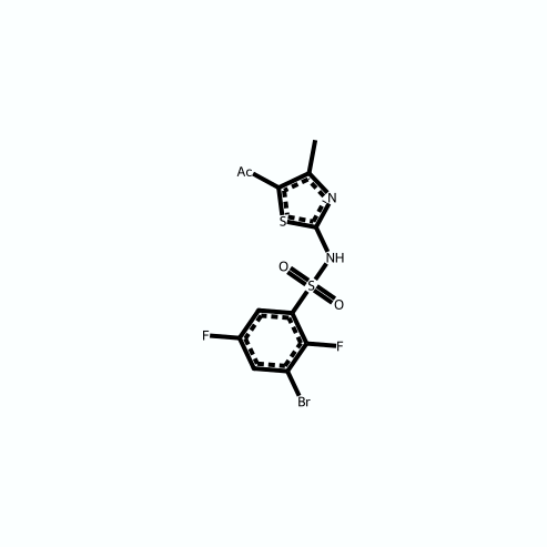 CC(=O)c1sc(NS(=O)(=O)c2cc(F)cc(Br)c2F)nc1C